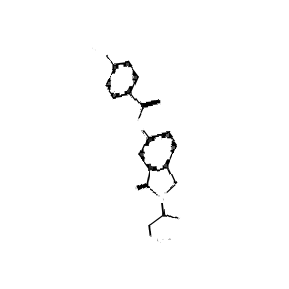 COCC(C)N1Cc2ccc(OC(=O)c3ccc(C#N)cc3)cc2C1=O